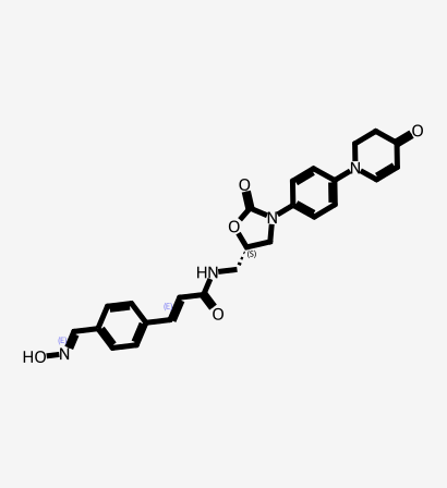 O=C1C=CN(c2ccc(N3C[C@H](CNC(=O)/C=C/c4ccc(/C=N/O)cc4)OC3=O)cc2)CC1